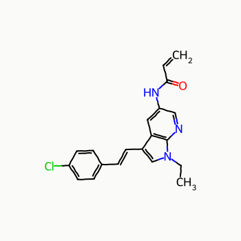 C=CC(=O)Nc1cnc2c(c1)c(/C=C/c1ccc(Cl)cc1)cn2CC